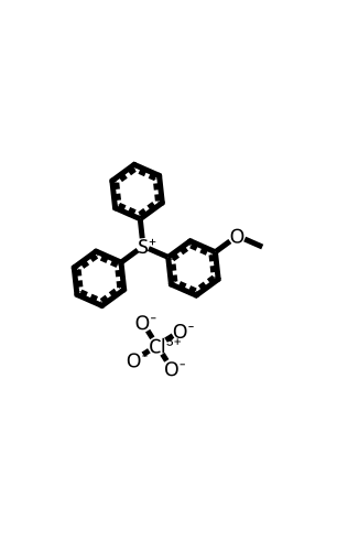 COc1cccc([S+](c2ccccc2)c2ccccc2)c1.[O-][Cl+3]([O-])([O-])[O-]